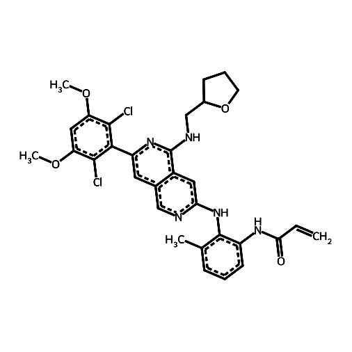 C=CC(=O)Nc1cccc(C)c1Nc1cc2c(NCC3CCCO3)nc(-c3c(Cl)c(OC)cc(OC)c3Cl)cc2cn1